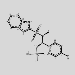 C[C@@H]([C@H](O[Si](C)(C)C(C)(C)C)c1ncc(Cl)cn1)S(=O)(=O)c1nc2ccccc2s1